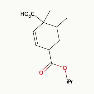 CC(C)OC(=O)C1C=CC(C)(C(=O)O)C(C)C1